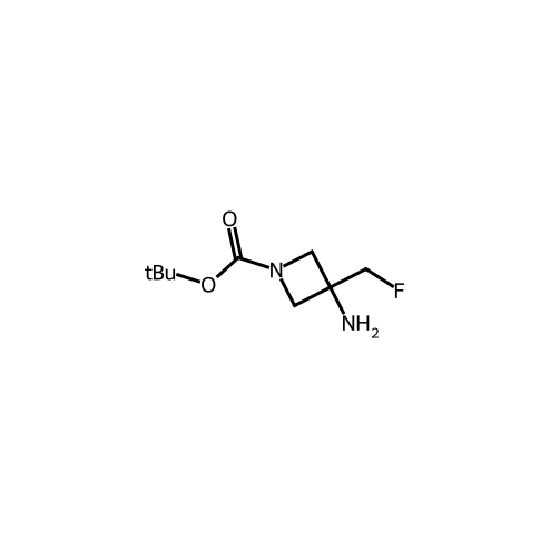 CC(C)(C)OC(=O)N1CC(N)(CF)C1